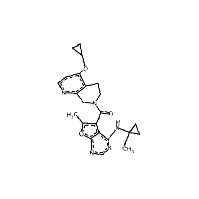 Cc1oc2ncnc(NC3(C)CC3)c2c1C(=O)N1CCc2c(OC3CC3)ccnc2C1